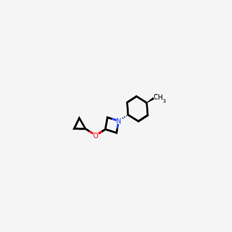 C[C@H]1CC[C@H](N2CC(OC3CC3)C2)CC1